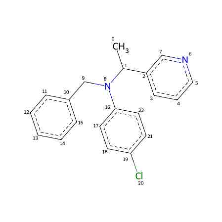 CC(c1cccnc1)N(Cc1ccccc1)c1ccc(Cl)cc1